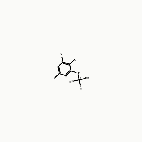 Cc1cc(F)c(C)c(OC(F)(F)F)c1